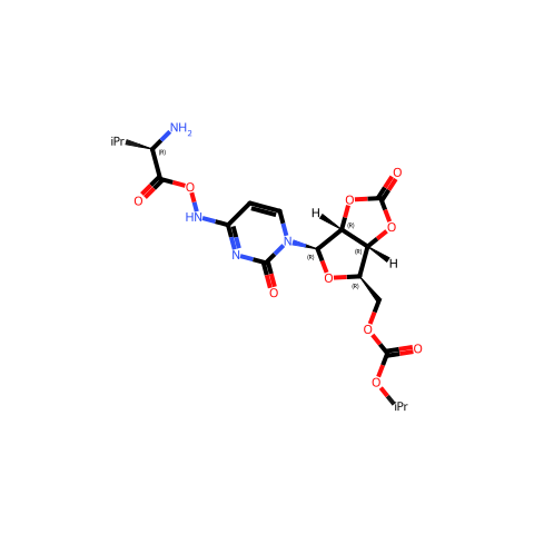 CC(C)OC(=O)OC[C@H]1O[C@@H](n2ccc(NOC(=O)[C@H](N)C(C)C)nc2=O)[C@@H]2OC(=O)O[C@@H]21